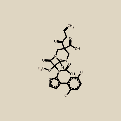 C=CCC(=O)C1(C(=O)O)CS[C@H]2N(C1)C(=O)C2(OC)N(C(C)=O)c1sccc1-c1cc(Cl)ccc1Cl